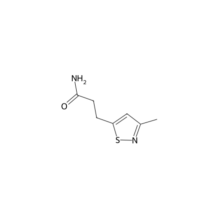 Cc1cc(CCC(N)=O)sn1